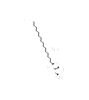 CCCCCCCCCCCCCCCCCC(=O)N[C@@H](CC(N)=O)C(=O)O.[NaH]